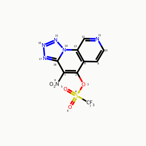 O=[N+]([O-])c1c(OS(=O)(=O)C(F)(F)F)c2ccncc2n2nnnc12